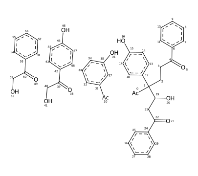 CC(=O)C(CCC(=O)c1ccccc1)(c1ccc(O)cc1)C(O)CC(=O)c1ccccc1.CC(=O)c1cccc(O)c1.O=C(CO)c1ccc(O)cc1.O=C(CO)c1ccccc1